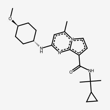 CO[C@H]1CC[C@H](Nc2cc(C)n3ccc(C(=O)NC(C)(C)C4CC4)c3n2)CC1